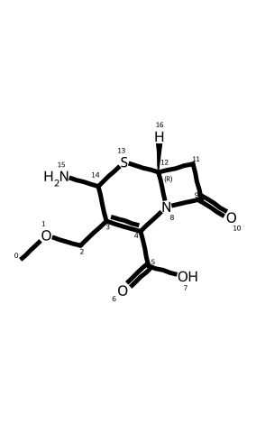 COCC1=C(C(=O)O)N2C(=O)C[C@H]2SC1N